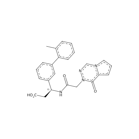 Cc1ccccc1-c1cccc([C@H](CC(=O)O)NC(=O)Cn2ncn3cccc3c2=O)c1